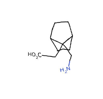 NCC1(CC(=O)O)C2CCC1CC2